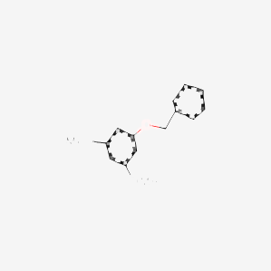 COc1cc(OC)cc(OCc2ccccc2)c1